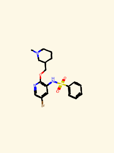 CN1CCCC(COc2ncc(Br)cc2NS(=O)(=O)c2ccccc2)C1